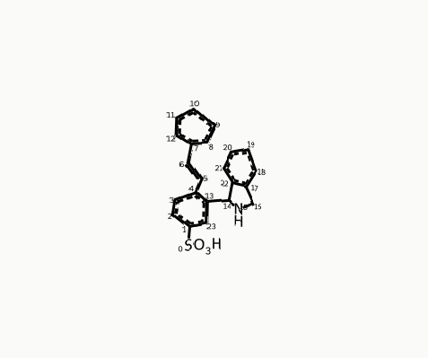 O=S(=O)(O)c1ccc(C=Cc2ccccc2)c(C2NCc3ccccc32)c1